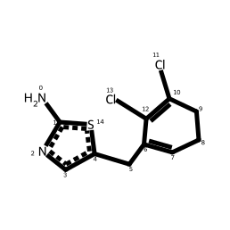 Nc1ncc(CC2=CCCC(Cl)=C2Cl)s1